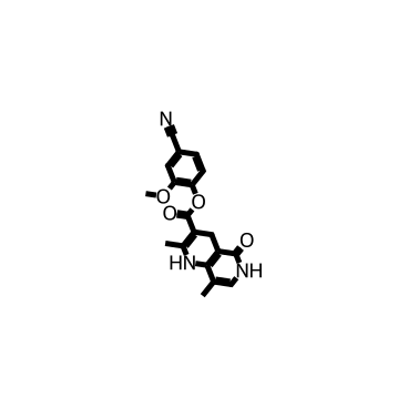 COc1cc(C#N)ccc1OC(=O)C1=C(C)Nc2c(C)c[nH]c(=O)c2C1